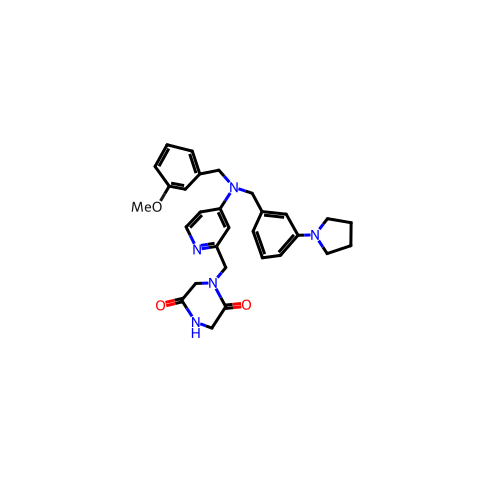 COc1cccc(CN(Cc2cccc(N3CCCC3)c2)c2ccnc(CN3CC(=O)NCC3=O)c2)c1